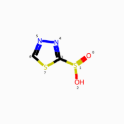 O=S(O)c1nncs1